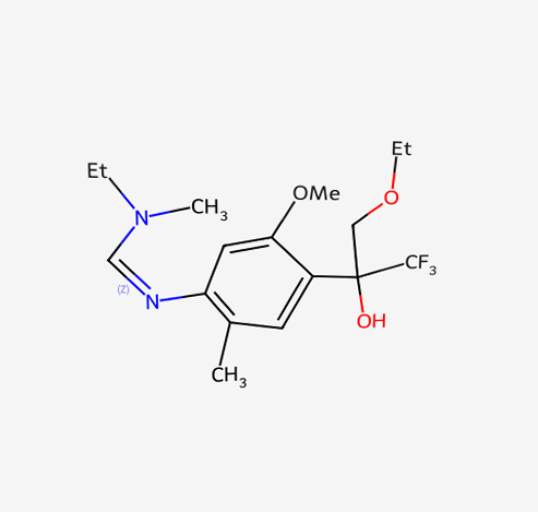 CCOCC(O)(c1cc(C)c(/N=C\N(C)CC)cc1OC)C(F)(F)F